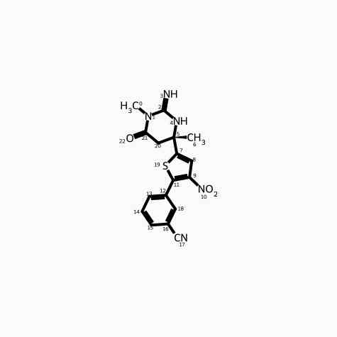 CN1C(=N)N[C@](C)(c2cc([N+](=O)[O-])c(-c3cccc(C#N)c3)s2)CC1=O